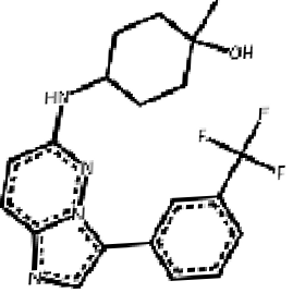 CC1(O)CCC(Nc2ccc3ncc(-c4cccc(C(F)(F)F)c4)n3n2)CC1